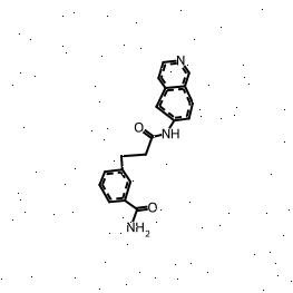 NC(=O)c1cccc(CCC(=O)Nc2ccc3cnccc3c2)c1